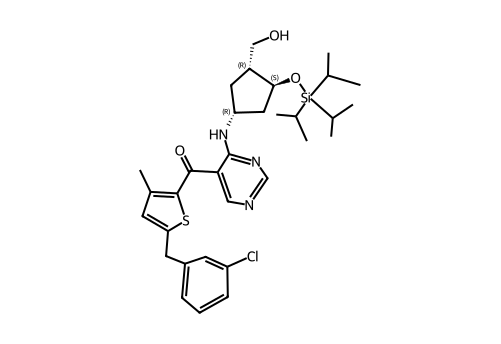 Cc1cc(Cc2cccc(Cl)c2)sc1C(=O)c1cncnc1N[C@@H]1C[C@H](CO)[C@@H](O[Si](C(C)C)(C(C)C)C(C)C)C1